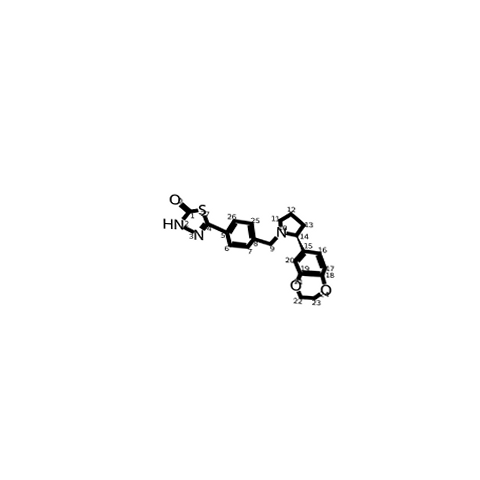 O=c1[nH]nc(-c2ccc(CN3CCC[C@H]3c3ccc4c(c3)OCCO4)cc2)s1